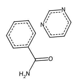 NC(=O)c1ccccc1.c1cncnc1